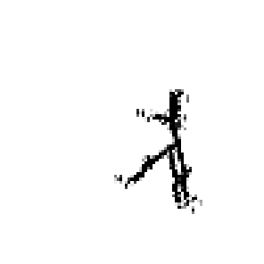 CCCCCCC#CCOC(=O)CCCCCCCCN(CCCCCCCCC(=O)OCC#CCCCCCC)CCCN(CCCCCCCCC(=O)OCC#CCCCCCC)CCCCCC(=O)Nc1nc(OCCCC)nc2c1[nH]c(=O)n2Cc1cccc(CC(=O)OC)c1